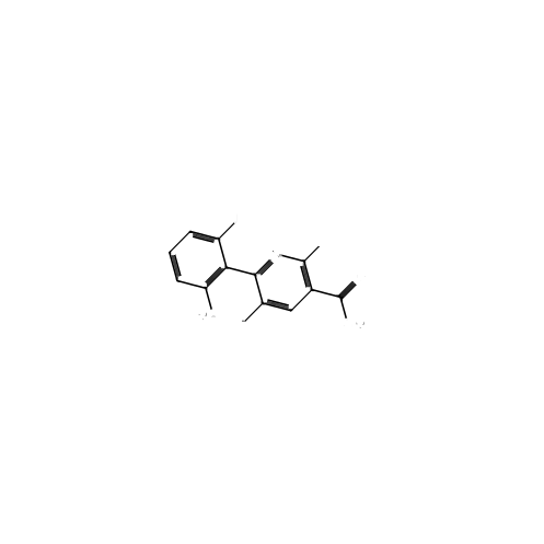 COC(=O)c1cc(Cl)c(-c2c(F)cccc2OC)nc1Cl